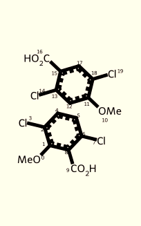 COc1c(Cl)ccc(Cl)c1C(=O)O.COc1cc(Cl)c(C(=O)O)cc1Cl